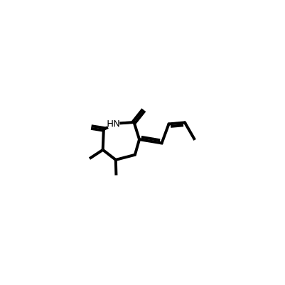 C=C1NC(=C)C(C)C(C)C/C1=C/C=C\C